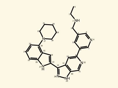 CCNCc1cncc(-c2cc3c(-c4cc5c(N6CCCCC6)cccc5[nH]4)n[nH]c3cn2)c1